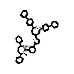 CN1C(C2=CCCC(C3=[N+]=C(C4=CCC(C5=CCC(c6ccccc6)C=C5)NC(c5ccc(C6C=CC=CC6)cc5)=C4)C=C3)=C2)NC(C2=CCCCC2)CCC1c1ccccc1